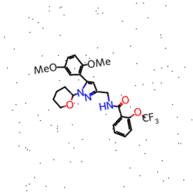 COc1ccc(OC)c(-c2cc(CNC(=O)c3ccccc3OC(F)(F)F)nn2C2CCCCO2)c1